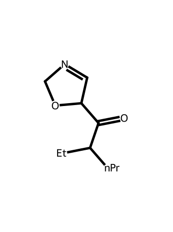 CCCC(CC)C(=O)C1C=NCO1